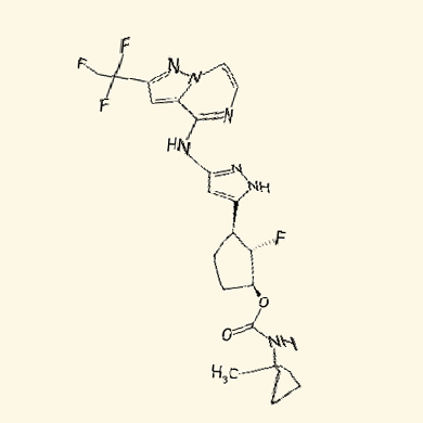 CC1(NC(=O)O[C@H]2CC[C@@H](c3cc(Nc4nccn5nc(C(F)(F)F)cc45)n[nH]3)[C@@H]2F)CC1